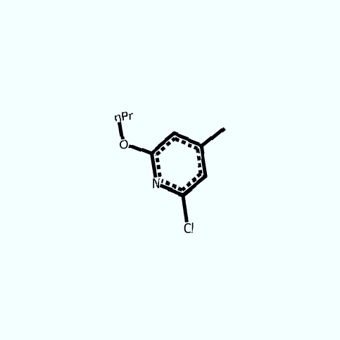 CCCOc1cc(C)cc(Cl)n1